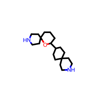 C1CC(C2CCC3(CCNCC3)CC2)OC2(C1)CCNCC2